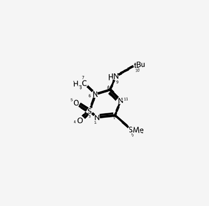 CSC1=NS(=O)(=O)N(C)C(NC(C)(C)C)=N1